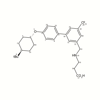 CC(C)(C)[C@H]1CC[C@H](Oc2ccc(-c3cc(CNCCC(=O)O)cc(C(F)(F)F)c3)cc2)CC1